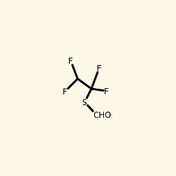 O=[C]SC(F)(F)C(F)F